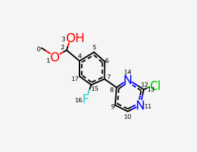 COC(O)c1ccc(-c2ccnc(Cl)n2)c(F)c1